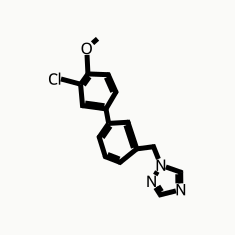 COc1ccc(-c2cccc(Cn3cncn3)c2)cc1Cl